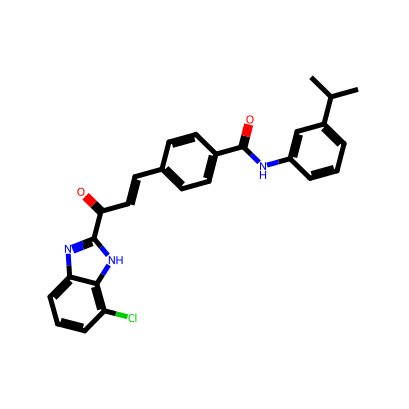 CC(C)c1cccc(NC(=O)c2ccc(C=CC(=O)c3nc4cccc(Cl)c4[nH]3)cc2)c1